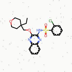 CCC1(COc2nc3ccccc3nc2NS(=O)(=O)c2ccccc2Cl)CCOCC1